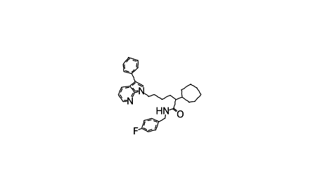 O=C(NCc1ccc(F)cc1)C(CCCCn1cc(-c2ccccc2)c2cccnc21)C1CCCCCC1